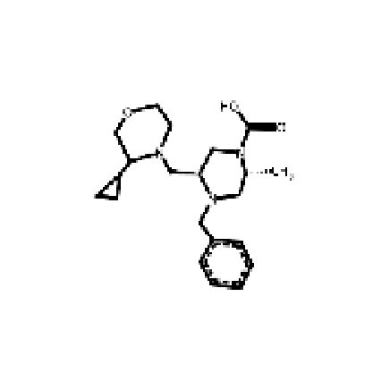 C[C@@H]1CN(Cc2ccccc2)[C@@H](CN2CCOCC2C2CC2)CN1C(=O)O